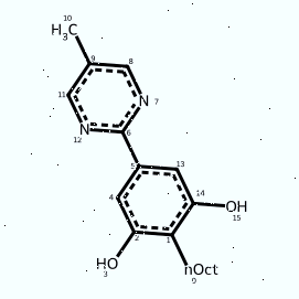 CCCCCCCCc1c(O)cc(-c2ncc(C)cn2)cc1O